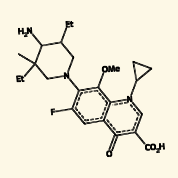 CCC1CN(c2c(F)cc3c(=O)c(C(=O)O)cn(C4CC4)c3c2OC)CC(C)(CC)C1N